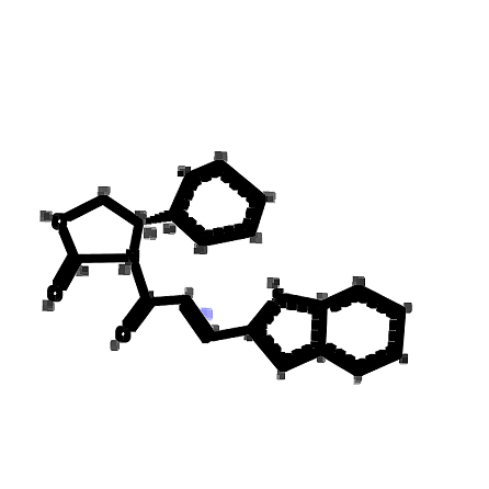 O=C(/C=C/c1cc2ccccc2s1)N1C(=O)OC[C@@H]1c1ccccc1